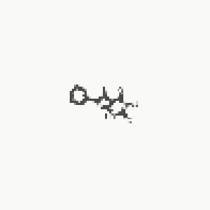 CCn1c(=O)[nH]c2sc(-c3ccccc3)c(C)c2c1=O